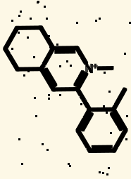 Cc1ccccc1-c1cc2c(c[n+]1C)CCCC2